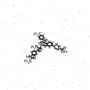 Cc1ccc(S(=O)(=O)n2c(C(=O)c3cnn(-c4ccc5[nH]c(C)nc5c4)c3N)cc3cc(C4CCN(C(=O)O)CC4)ccc32)cc1